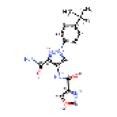 CCC(C)(C)c1ccc(-n2cc(NC(=O)c3cocn3)c(C(N)=O)n2)cc1